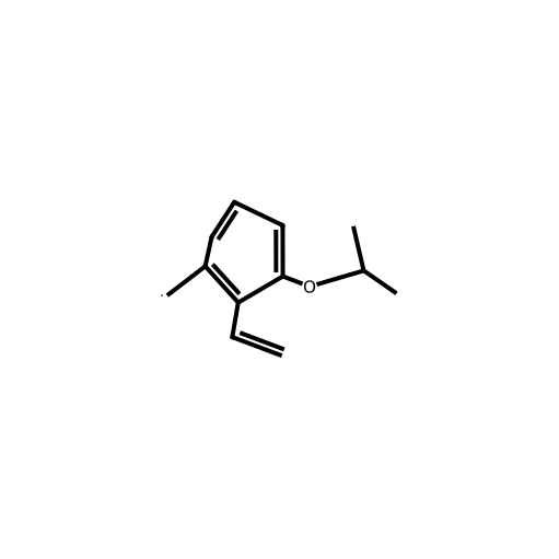 [CH2]c1cccc(OC(C)C)c1C=C